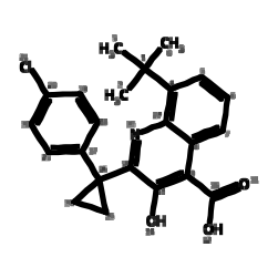 CC(C)(C)c1cccc2c(C(=O)O)c(O)c(C3(c4ccc(Cl)cc4)CC3)nc12